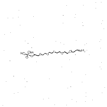 NCCOCCOCCOCCOCCOCCOP(=O)(O)O